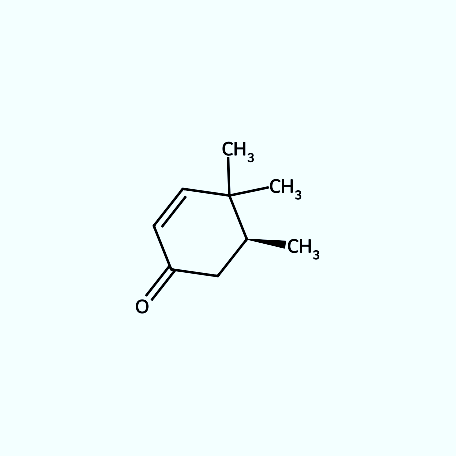 C[C@H]1CC(=O)C=CC1(C)C